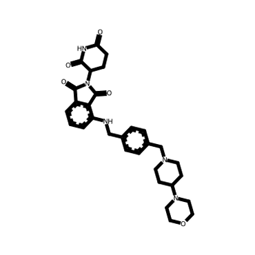 O=C1CCC(N2C(=O)c3cccc(NCc4ccc(CN5CCC(N6CCOCC6)CC5)cc4)c3C2=O)C(=O)N1